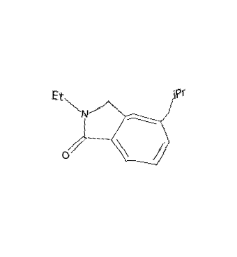 CCN1Cc2c(cccc2C(C)C)C1=O